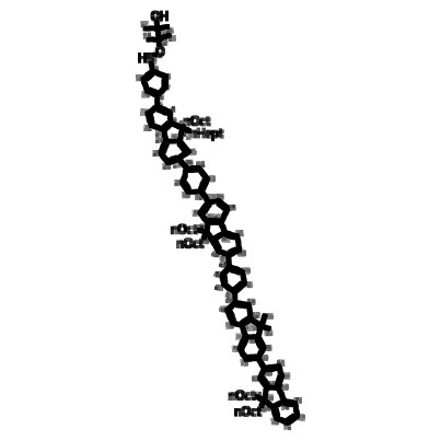 CCCCCCCCC1(CCCCCCC)c2cc(-c3ccc(BOC(C)(C)C(C)(C)O)cc3)ccc2-c2ccc(-c3ccc(-c4ccc5c(c4)C(CCCCCCCC)(CCCCCCCC)c4cc(-c6ccc(-c7ccc8c(c7)C(C)(C)c7cc(-c9ccc%10c(c9)C(CCCCCCCC)(CCCCCCCC)c9ccccc9-%10)ccc7-8)cc6)ccc4-5)cc3)cc21